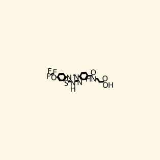 Cn1c(Nc2nc3ccc(OC(F)(F)F)cc3s2)nc2cc(C(=O)NCCC(=O)O)ccc21